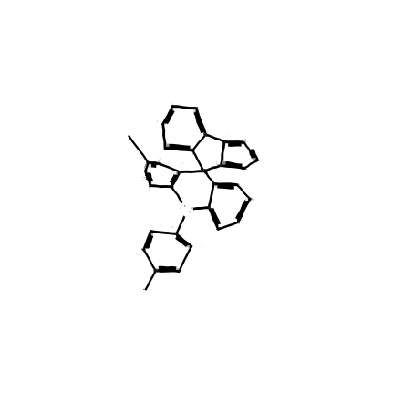 Cc1ccc(N2c3ccccc3C3(c4ccccc4-c4ccccc43)c3cc(C)ccc32)cc1